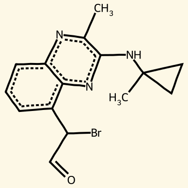 Cc1nc2cccc(C(Br)C=O)c2nc1NC1(C)CC1